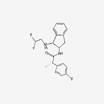 C[C@H](C(=O)NC1Cc2ccccc2C1NCC(F)F)c1ccc(F)cc1